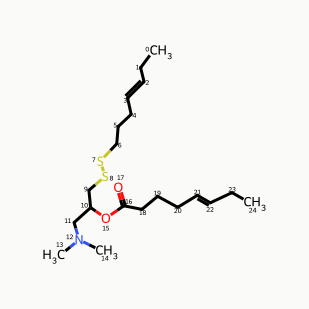 CC/C=C/CCCSSCC(CN(C)C)OC(=O)CCC/C=C/CC